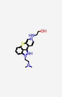 CN(C)CCn1[nH]c2c3c(sc4cccc1c4-2)=CN(NCCO)C=C3